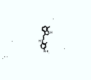 Cc1cc(N)ccc1NCCC1CNc2c(C)cccc21